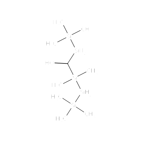 C[Si](C)(C)[SiH2]C(O)[Si](C)(C)[SiH2][Si](C)(C)C